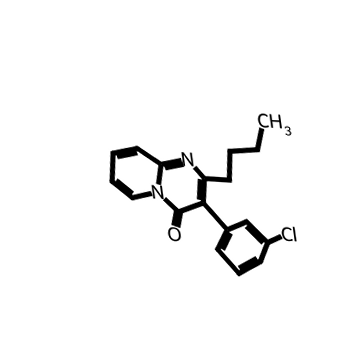 CCCCc1nc2ccccn2c(=O)c1-c1cccc(Cl)c1